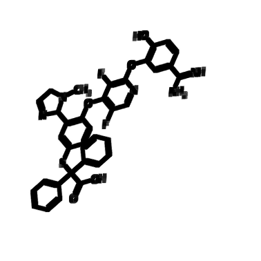 CN1CC=NC1c1cc(SC(C(=O)O)(c2ccccc2)c2ccccc2)ccc1Oc1c(F)cnc(Oc2cc(C(=N)N)ccc2O)c1F